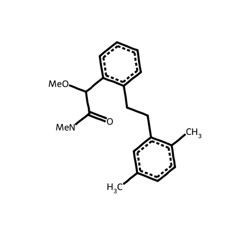 CNC(=O)C(OC)c1ccccc1CCc1cc(C)ccc1C